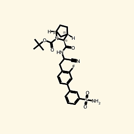 CC(C)(C)OC(=O)N1[C@@H]2CC[C@@H](C2)[C@H]1C(=O)NC(C#N)Cc1ccc(-c2cccc(S(N)(=O)=O)c2)cc1F